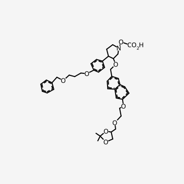 CC1(C)OCC(COCCOc2ccc3cc(COC4CN(OC(=O)O)CCC4c4ccc(OCCCOCc5ccccc5)cc4)ccc3c2)O1